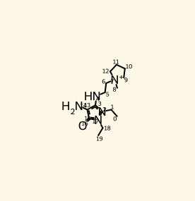 CCn1c(NCC[N+]2(C)CCCC2)c(N)c(=O)n1CC